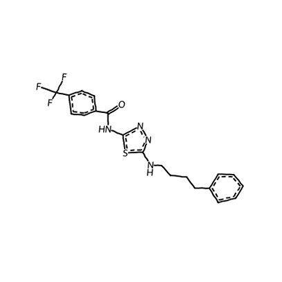 O=C(Nc1nnc(NCCCCc2ccccc2)s1)c1ccc(C(F)(F)F)cc1